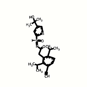 C#Cc1ccc(C(C)C)c(CC(=O)N=[S@](=O)(I)c2cc(C(C)(C)O)cs2)c1C(C)C